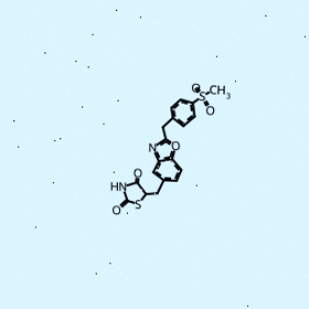 CS(=O)(=O)c1ccc(Cc2nc3cc(CC4SC(=O)NC4=O)ccc3o2)cc1